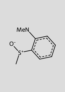 CNc1ccccc1[S+](C)[O-]